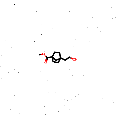 COC(=O)C12CCC(CCO)(CC1)C2